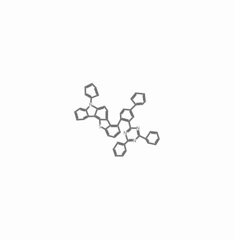 c1ccc(-c2ccc(-c3cccc4sc5c(ccc6c5c5ccccc5n6-c5ccccc5)c34)c(-c3nc(-c4ccccc4)nc(-c4ccccc4)n3)c2)cc1